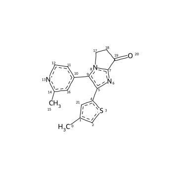 Cc1csc(-c2nc3n(c2-c2ccnc(C)c2)CCC3=O)c1